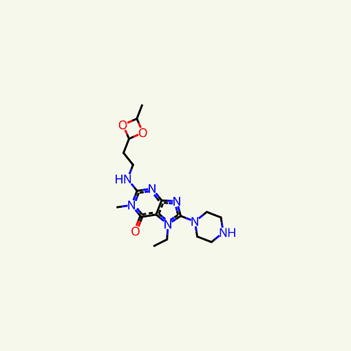 CCn1c(N2CCNCC2)nc2nc(NCCC3OC(C)O3)n(C)c(=O)c21